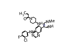 C=CC(=O)N1CCC(Nc2cc3c(Nc4ccc(F)c(Cl)c4)ncnc3cc2/C(C=N)=C/NC)CC1